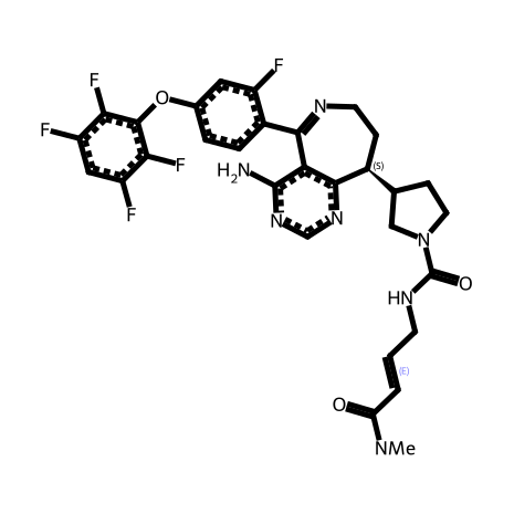 CNC(=O)/C=C/CNC(=O)N1CCC([C@@H]2CCN=C(c3ccc(Oc4c(F)c(F)cc(F)c4F)cc3F)c3c(N)ncnc32)C1